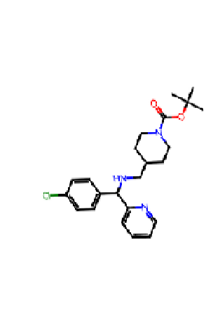 CC(C)(C)OC(=O)N1CCC(CNC(c2ccc(Cl)cc2)c2ccccn2)CC1